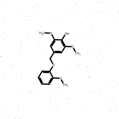 COc1ccccc1OCc1cc(OC)c(O)c(OC)c1